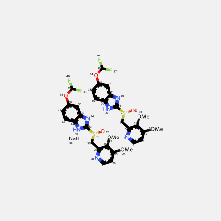 COc1ccnc(C[S+]([O-])c2nc3cc(OC(F)F)ccc3[nH]2)c1OC.COc1ccnc(C[S+]([O-])c2nc3cc(OC(F)F)ccc3[nH]2)c1OC.[NaH]